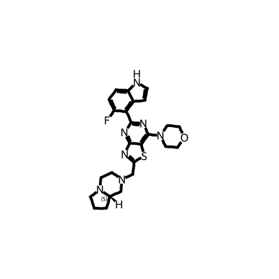 Fc1ccc2[nH]ccc2c1-c1nc(N2CCOCC2)c2sc(CN3CCN4CCC[C@H]4C3)nc2n1